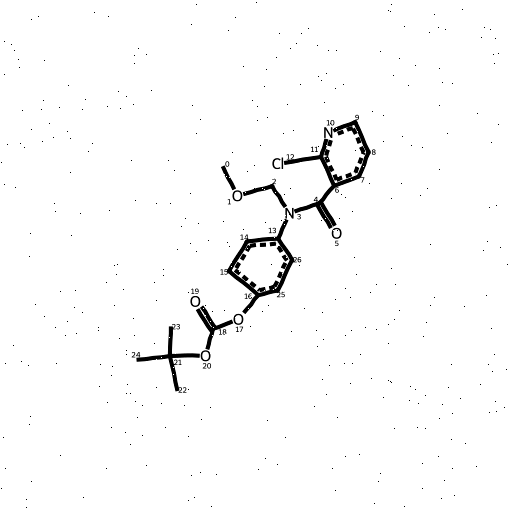 COCN(C(=O)c1cccnc1Cl)c1ccc(OC(=O)OC(C)(C)C)cc1